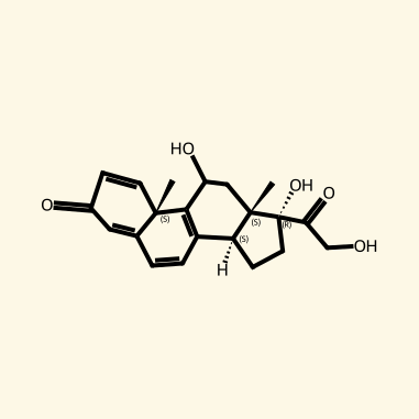 C[C@]12C=CC(=O)C=C1C=CC1=C2C(O)C[C@@]2(C)[C@H]1CC[C@]2(O)C(=O)CO